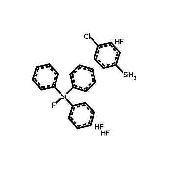 F.F.F.F[Si](c1ccccc1)(c1ccccc1)c1ccccc1.[SiH3]c1ccc(Cl)cc1